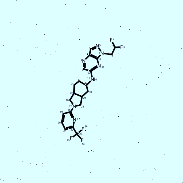 FC(F)Cn1ncc2ncc(NC3CCC4CN(c5cccc(C(F)(F)F)n5)CC4C3)nc21